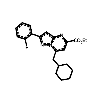 CCOC(=O)c1cc(CC2CCCCC2)n2nc(-c3ccccc3F)cc2n1